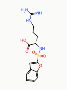 N=C(N)NCCC[C@H](NS(=O)(=O)c1cc2ccccc2o1)C(=O)O